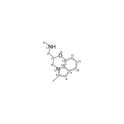 CNCC1Cn2c(C)cc3cccc(c32)O1